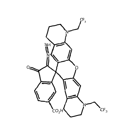 N=[N+]=C1C(=O)c2ccc(C(=O)O)cc2C12c1cc3c(cc1Oc1cc4c(cc12)CCCN4CC(F)(F)F)N(CC(F)(F)F)CCC3